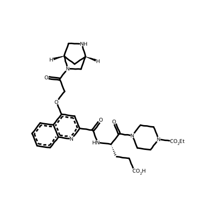 CCOC(=O)N1CCN(C(=O)[C@H](CCC(=O)O)NC(=O)c2cc(OCC(=O)N3C[C@@H]4C[C@H]3CN4)c3ccccc3n2)CC1